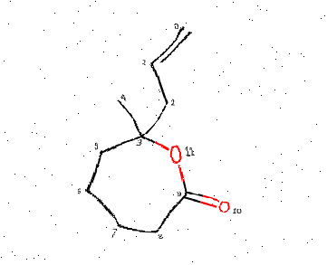 C=CCC1(C)CCCCC(=O)O1